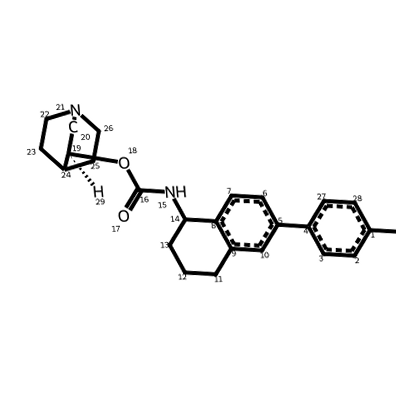 Cc1ccc(-c2ccc3c(c2)CCCC3NC(=O)O[C@@H]2CN3CCC2CC3)cc1